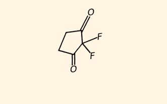 O=C1CCC(=O)C1(F)F